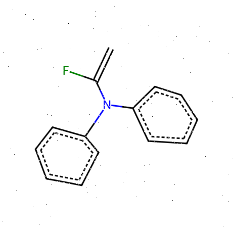 C=C(F)N(c1ccccc1)c1ccccc1